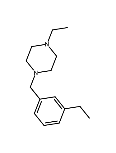 CCc1cccc(CN2CCN(CC)CC2)c1